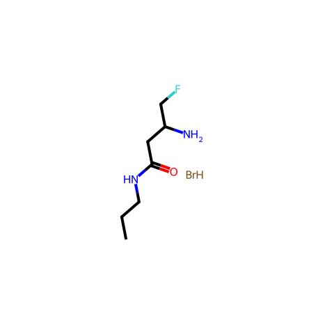 Br.CCCNC(=O)CC(N)CF